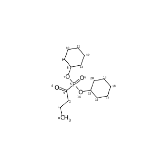 CCCC(=O)P(=O)(OC1CCCCC1)OC1CCCCC1